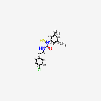 O=C(NCCc1ccc(Cl)cc1)N(S)c1cc(C(F)(F)F)cc(C(F)(F)F)c1